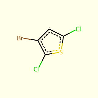 Clc1[c]c(Br)c(Cl)s1